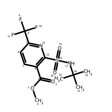 COC(=O)c1ccc(C(F)(F)F)nc1S(=O)(=O)NC(C)(C)C